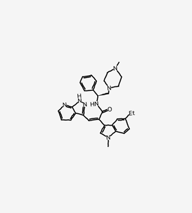 CCc1ccc2c(c1)c(C(=Cc1n[nH]c3ncccc13)C(=O)N[C@H](CN1CCN(C)CC1)c1ccccc1)cn2C